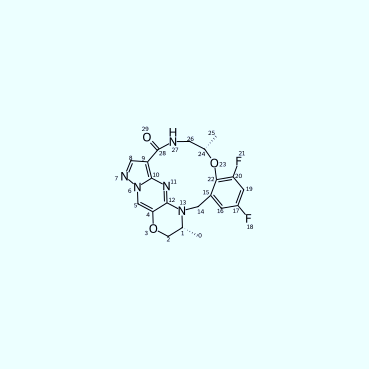 C[C@@H]1COc2cn3ncc4c3nc2N1Cc1cc(F)cc(F)c1O[C@@H](C)CNC4=O